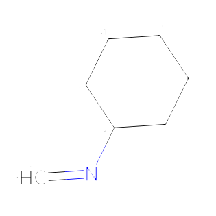 [CH]=NC1CCCCC1